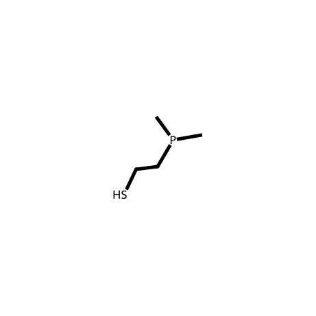 CP(C)CCS